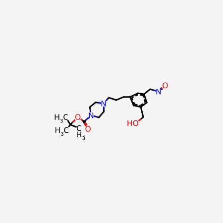 CC(C)(C)OC(=O)N1CCN(CCCc2cc(CO)cc(CN=O)c2)CC1